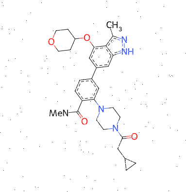 CNC(=O)c1ccc(-c2cc(OC3CCOCC3)c3c(C)n[nH]c3c2)cc1N1CCN(C(=O)CC2CC2)CC1